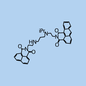 CC(C)N(CCCNCCN1C(=O)c2cccc3cccc(c23)C1=O)CCN1C(=O)c2cccc3cc4ccccc4c(c23)C1=O